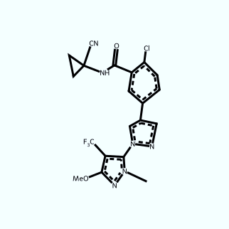 COc1nn(C)c(-n2cc(-c3ccc(Cl)c(C(=O)NC4(C#N)CC4)c3)cn2)c1C(F)(F)F